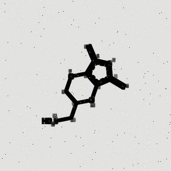 C=c1sc(=C)c2c1OCC(CS(=O)(=O)O)O2